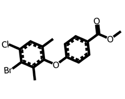 COC(=O)c1ccc(Oc2c(C)cc(Cl)c(Br)c2C)cc1